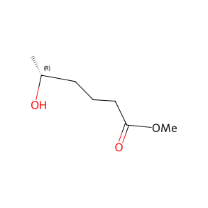 COC(=O)CCC[C@@H](C)O